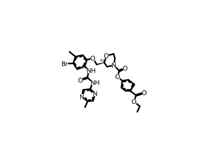 CCOC(=O)c1ccc(OC(=O)N2CCO[C@H](COc3cc(C)c(Br)cc3NC(=O)Nc3cnc(C)cn3)C2)cc1